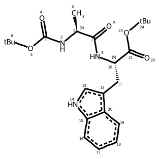 C[C@H](NC(=O)OC(C)(C)C)C(=O)N[C@@H](Cc1c[nH]c2ccccc12)C(=O)OC(C)(C)C